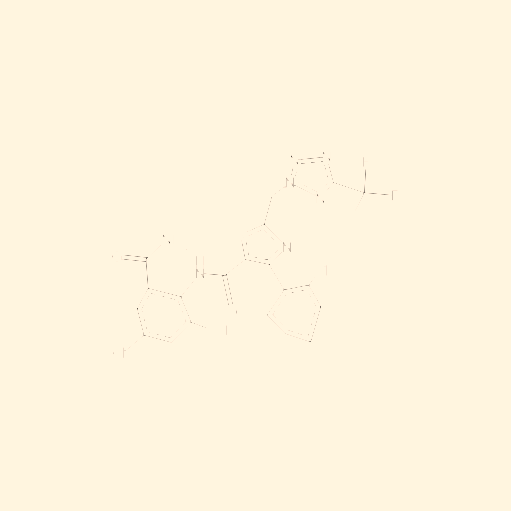 Cc1cc(Cl)cc(C(N)=O)c1NC(=O)c1sc(Cn2nnc(C(F)(F)F)n2)nc1-c1ccccc1Cl